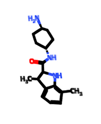 Cc1cccc2c1NC(C(=O)N[C@H]1CC[C@H](N)CC1)C2C